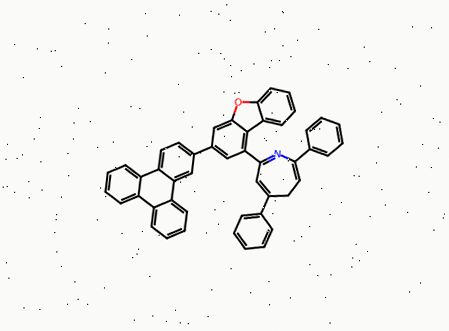 C1=C(c2ccccc2)CC=C(c2ccccc2)N=C1c1cc(-c2ccc3c4ccccc4c4ccccc4c3c2)cc2oc3ccccc3c12